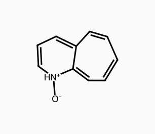 [O-][NH+]1C=CC=C2C=CC=CC=C21